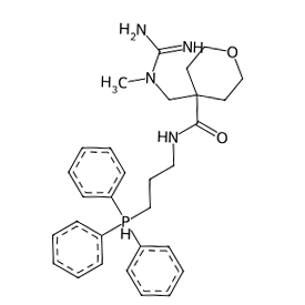 CN(CC1(C(=O)NCCC[PH](c2ccccc2)(c2ccccc2)c2ccccc2)CCOCC1)C(=N)N